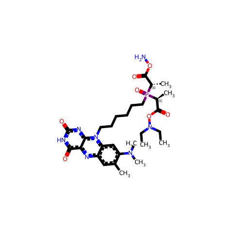 CCN(CC)OC(=O)[C@H](C)P(=O)(CCCCCCn1c2nc(=O)[nH]c(=O)c-2nc2cc(C)c(N(C)C)cc21)[C@@H](C)C(=O)ON